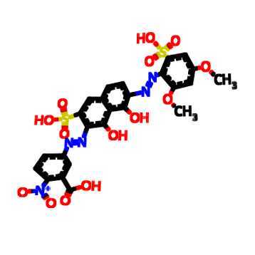 COc1cc(OC)c(/N=N/c2ccc3cc(S(=O)(=O)O)c(/N=N/c4ccc([N+](=O)[O-])c(C(=O)O)c4)c(O)c3c2O)c(S(=O)(=O)O)c1